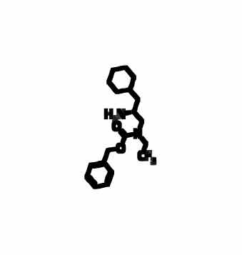 N[C@@H](CC1CCCCC1)CN(CC(F)(F)F)C(=O)OCc1ccccc1